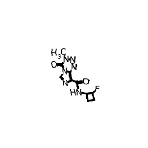 Cn1nnc2c(C(=O)NC3CCC3F)ncn2c1=O